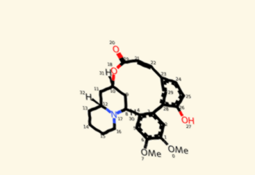 COc1cc2c(cc1OC)[C@@H]1C[C@H](C[C@H]3CCCCN31)OC(=O)/C=C\c1ccc(O)c-2c1